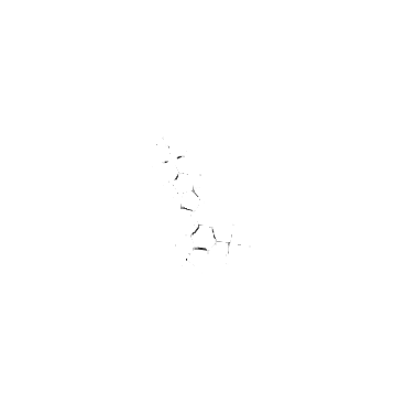 NS(=O)(=O)c1nn2cc(-c3cc(C(F)(F)F)cc(C(F)(F)F)c3)nc2s1